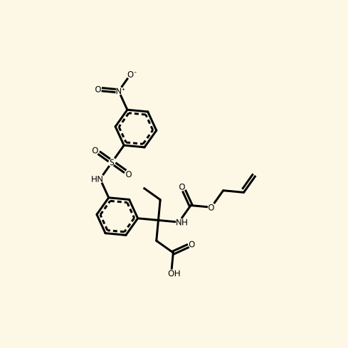 C=CCOC(=O)NC(CC)(CC(=O)O)c1cccc(NS(=O)(=O)c2cccc([N+](=O)[O-])c2)c1